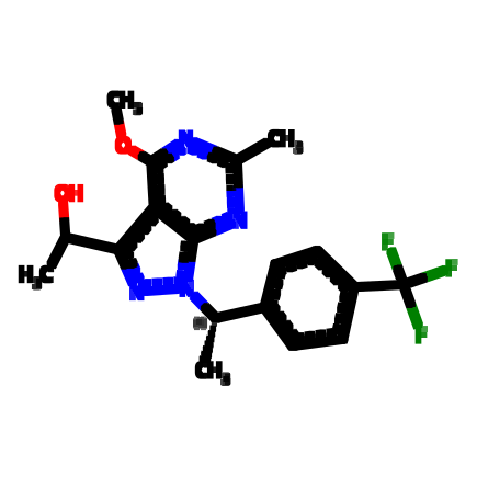 COc1nc(C)nc2c1c(C(C)O)nn2[C@@H](C)c1ccc(C(F)(F)F)cc1